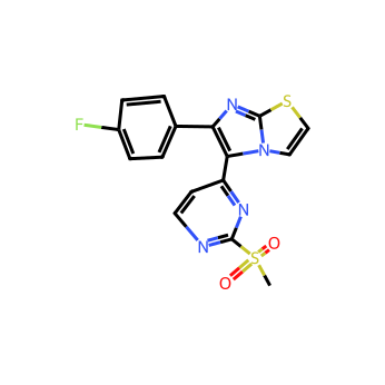 CS(=O)(=O)c1nccc(-c2c(-c3ccc(F)cc3)nc3sccn23)n1